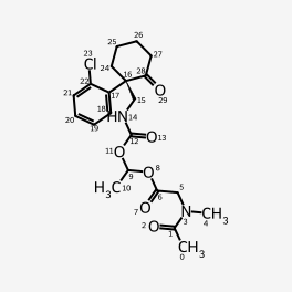 CC(=O)N(C)CC(=O)OC(C)OC(=O)NC[C@@]1(c2ccccc2Cl)CCCCC1=O